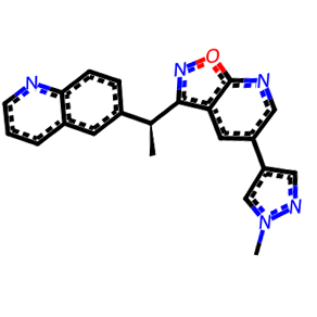 C[C@@H](c1ccc2ncccc2c1)c1noc2ncc(-c3cnn(C)c3)cc12